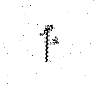 CCCCCCCCCCCCCCCCC(C)(CCO)C1=NCCN1.COS(=O)(=O)O